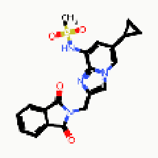 CS(=O)(=O)Nc1cc(C2CC2)cn2cc(CN3C(=O)c4ccccc4C3=O)nc12